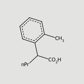 CCCC(C(=O)O)c1ccccc1C